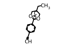 C#Cc1ccc(C23OCC(CC)(CO2)CO3)cc1